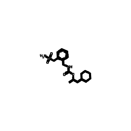 CC(CC1CCCCC1)OC(=O)NCc1ccccc1CS(N)(=O)=O